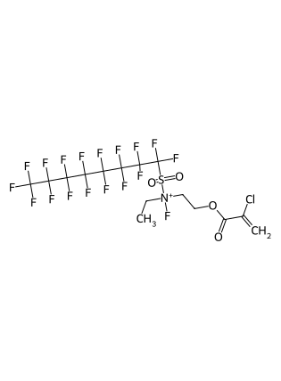 C=C(Cl)C(=O)OCC[N+](F)(CC)S(=O)(=O)C(F)(F)C(F)(F)C(F)(F)C(F)(F)C(F)(F)C(F)(F)C(F)(F)C(F)(F)F